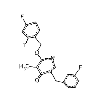 Cc1c(OCc2ccc(F)cc2F)ncn(Cc2cccc(F)c2)c1=O